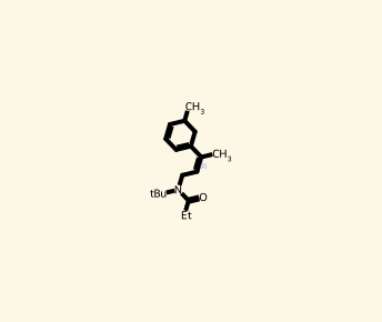 CCC(=O)N(C/C=C(/C)C1=CC=CC(C)C1)C(C)(C)C